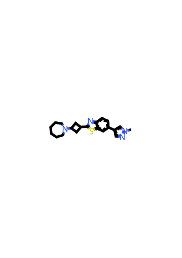 Cn1cc(-c2ccc3nc(C4CC(N5CCCCCC5)C4)sc3c2)cn1